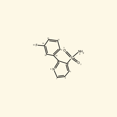 NS(=O)(=O)c1cccnc1-c1cccc(F)c1